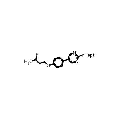 CCCCCCCc1ncc(-c2ccc(OCCC(C)F)cc2)cn1